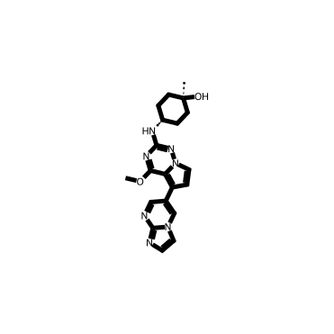 COc1nc(N[C@H]2CC[C@](C)(O)CC2)nn2ccc(-c3cnc4nccn4c3)c12